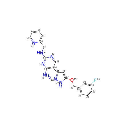 Nc1nc(NCc2ccccn2)ncc1-c1cc(OCc2cccc(F)c2)[nH]n1